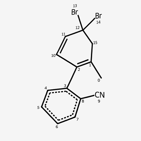 CC1=C(c2ccccc2C#N)C=CC(Br)(Br)C1